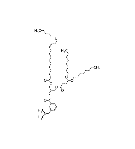 CCCCC/C=C\C/C=C\CCCCCCCCCC(=O)OCC(COC(=O)CCC(OCCCCCCCC)OCCCCCCCC)COC(=O)c1cccc(CN(C)C)c1